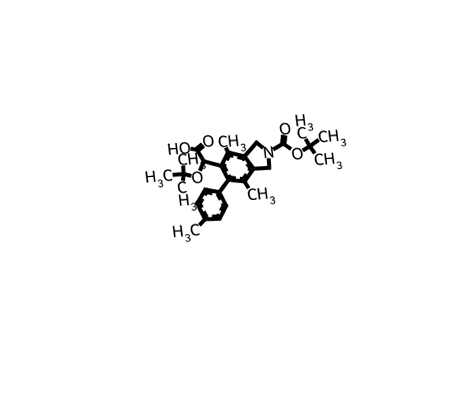 Cc1ccc(-c2c(C)c3c(c(C)c2C(OC(C)(C)C)C(=O)O)CN(C(=O)OC(C)(C)C)C3)cc1